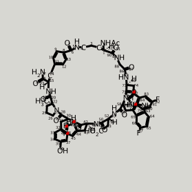 CC(=O)N[C@@H]1CCCNC(=O)c2ccc(cc2)C[C@@H](C(N)=O)NC(=O)[C@]2(C)CCCN2C(=O)[C@H](Cc2ccc(O)cc2)NC(=O)[C@H](Cc2cnc[nH]2)NC(=O)[C@@H](CC(=O)O)NC(=O)[C@H](Cc2c[nH]c3ccc(F)cc23)NC(=O)[C@H](Cc2c[nH]c3ccc(F)cc23)NC(=O)CNC1=O